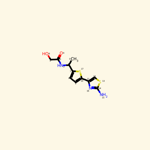 CC(NC(=O)CO)c1ccc(-c2csc(N)n2)s1